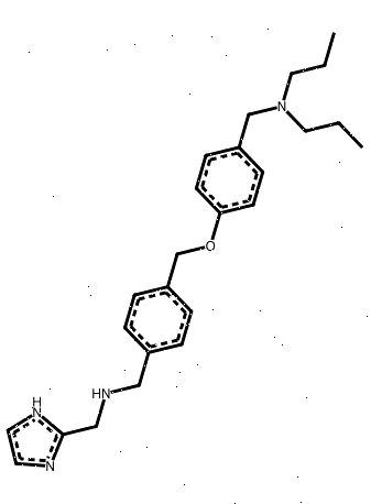 CCCN(CCC)Cc1ccc(OCc2ccc(CNCc3ncc[nH]3)cc2)cc1